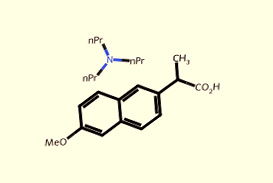 CCCN(CCC)CCC.COc1ccc2cc(C(C)C(=O)O)ccc2c1